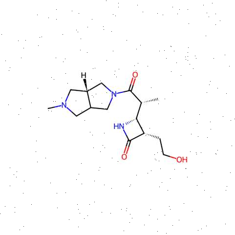 C[C@@H](C(=O)N1CC2CN(C)C[C@@H]2C1)[C@H]1NC(=O)[C@H]1CCO